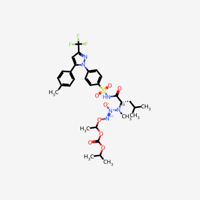 Cc1ccc(-c2cc(C(F)(F)F)nn2-c2ccc(S(=O)(=O)NC(=O)[C@H](CC(C)C)N(C)/[N+]([O-])=N/OC(C)OC(=O)OC(C)C)cc2)cc1